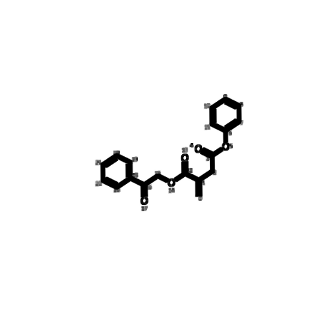 C=C(CC(=O)Oc1ccccc1)C(=O)OCC(=O)c1ccccc1